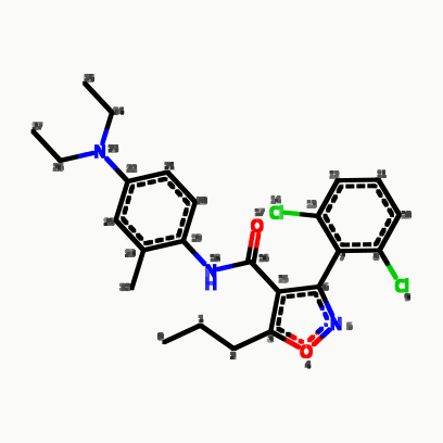 CCCc1onc(-c2c(Cl)cccc2Cl)c1C(=O)Nc1ccc(N(CC)CC)cc1C